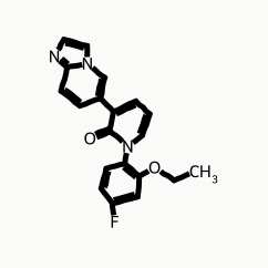 CCOc1cc(F)ccc1-n1cccc(-c2ccc3nccn3c2)c1=O